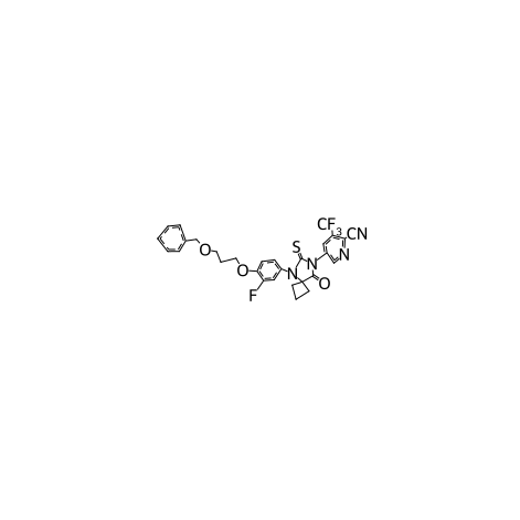 N#Cc1ncc(N2C(=O)C3(CCC3)N(c3ccc(OCCCOCc4ccccc4)c(F)c3)C2=S)cc1C(F)(F)F